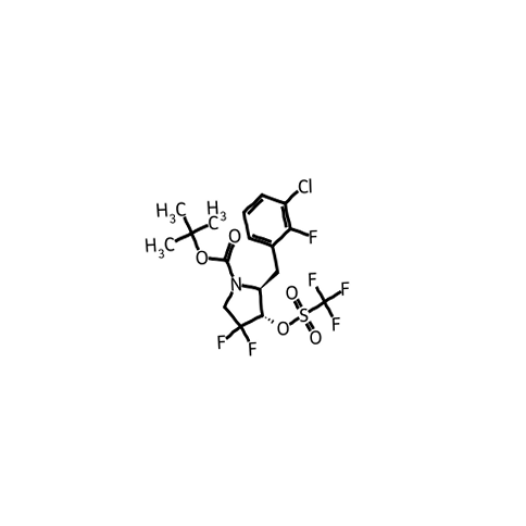 CC(C)(C)OC(=O)N1CC(F)(F)[C@@H](OS(=O)(=O)C(F)(F)F)[C@@H]1Cc1cccc(Cl)c1F